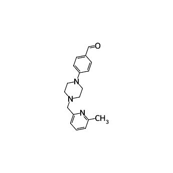 Cc1cccc(CN2CCN(c3ccc(C=O)cc3)CC2)n1